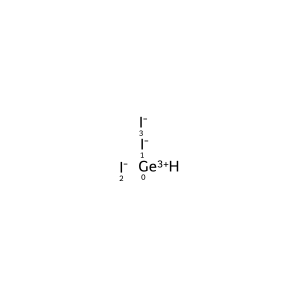 [GeH+3].[I-].[I-].[I-]